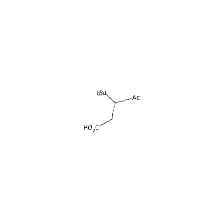 CC(=O)C(CC(=O)O)C(C)(C)C